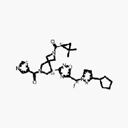 C[C@H](c1nc([C@@H]2CN(C(=O)c3cncs3)CC23CN(C(=O)[C@H]2CC2(C)C)C3)no1)n1ccc(C2CCCC2)n1